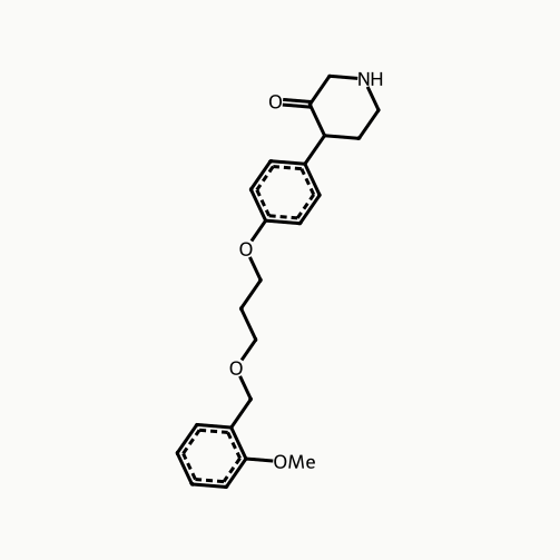 COc1ccccc1COCCCOc1ccc(C2CCNCC2=O)cc1